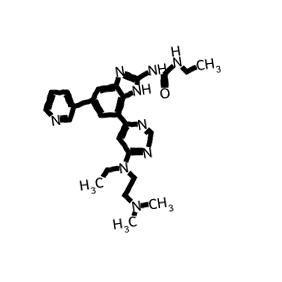 CCNC(=O)Nc1nc2cc(-c3cccnc3)cc(-c3cc(N(CC)CCN(C)C)ncn3)c2[nH]1